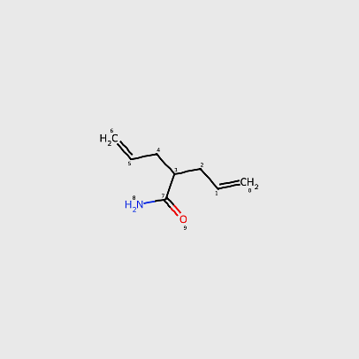 C=CCC(CC=C)C(N)=O